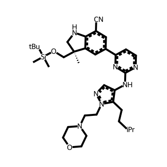 CC(C)CCc1c(Nc2nccc(-c3cc(C#N)c4c(c3)[C@@](C)(CO[Si](C)(C)C(C)(C)C)CN4)n2)cnn1CCN1CCOCC1